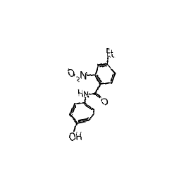 CCc1ccc(C(=O)Nc2ccc(O)cc2)c([N+](=O)[O-])c1